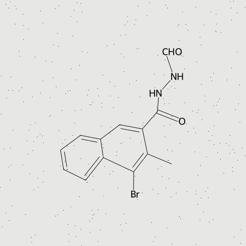 Cc1c(C(=O)NNC=O)cc2ccccc2c1Br